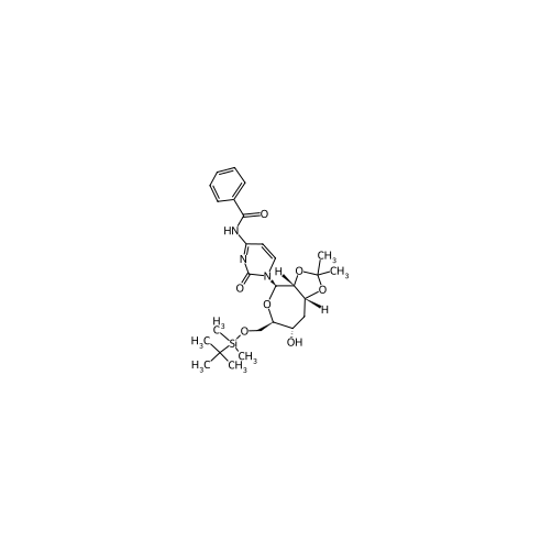 CC1(C)O[C@H]2[C@H](n3ccc(NC(=O)c4ccccc4)nc3=O)O[C@H](CO[Si](C)(C)C(C)(C)C)[C@@H](O)C[C@H]2O1